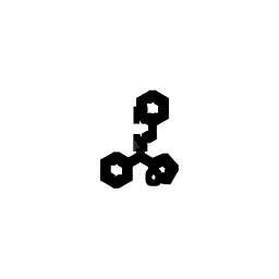 C(=N\C(c1ccccc1)c1ccco1)/c1ccccn1